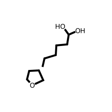 C1CCOC1.CCCCCC(O)O